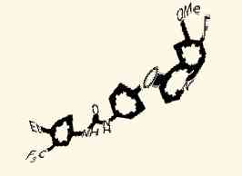 CCc1ccc(NC(=O)Nc2ccc(Oc3ccnc4cc(F)c(OC)cc34)cc2)cc1C(F)(F)F